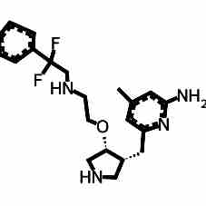 Cc1cc(N)nc(C[C@@H]2CNC[C@@H]2OCCNCC(F)(F)c2ccccc2)c1